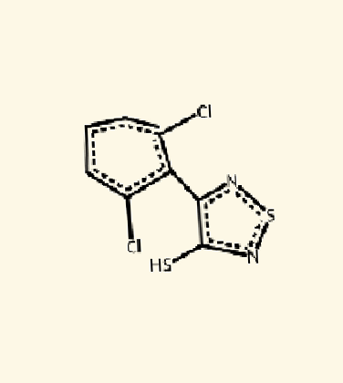 Sc1nsnc1-c1c(Cl)cccc1Cl